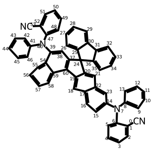 N#Cc1ccccc1N(c1ccccc1)c1ccc2cc3c(cc2c1)C1(c2ccccc2-c2ccccc21)c1cc(N(c2ccccc2)c2ccccc2C#N)c2ccccc2c1-3